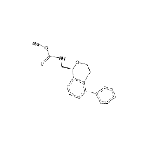 CC(C)(C)OC(=O)NC[C@H]1OCCc2c(-c3ccccc3)cccc21